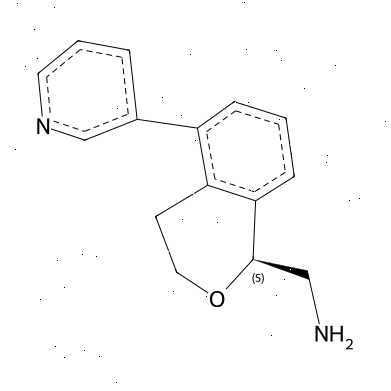 NC[C@H]1OCCc2c(-c3cccnc3)cccc21